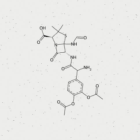 CC(=O)Oc1ccc(C(N)C(=O)N[C@@H]2C(=O)N3[C@@H](C(=O)O)C(C)(C)SC23NC=O)cc1OC(C)=O